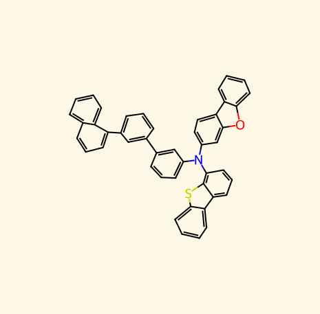 c1cc(-c2cccc(N(c3ccc4c(c3)oc3ccccc34)c3cccc4c3sc3ccccc34)c2)cc(-c2cccc3ccccc23)c1